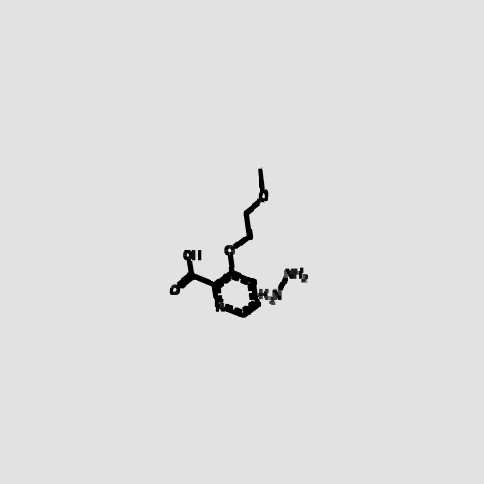 COCCOc1cccnc1C(=O)O.NN